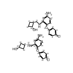 Nc1ncc(Oc2ccc(Cl)cc2)c(NC[C@@H]2CC[C@H]2O)n1.Nc1ncc(Oc2ccc(Cl)cc2)c(NC[C@H]2C[C@H](O)C2)n1